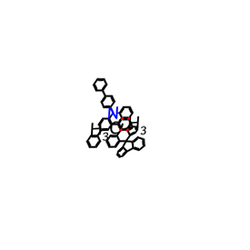 CC1(C)c2ccccc2C2(c3ccccc3-c3ccccc32)c2cccc(-c3cccc(N(c4ccc(-c5ccccc5)cc4)c4ccc(-c5ccccc5)cc4-c4ccccc4)c3)c21